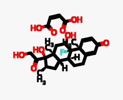 C[C@@H]1C[C@H]2[C@@H]3CCC4=CC(=O)C=C[C@]4(C)[C@@]3(F)[C@@H](O)C[C@]2(C)[C@@]1(O)C(=O)CO.O=C(O)/C=C\C(=O)O